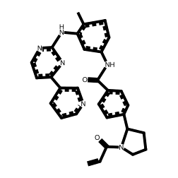 C=CC(=O)N1CCCC1c1ccc(C(=O)Nc2ccc(C)c(Nc3nccc(-c4cccnc4)n3)c2)cc1